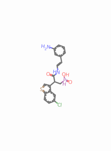 Nc1cccc(/C=C/NC(=O)C(C[PH](=O)O)c2csc3ccc(Cl)cc23)c1